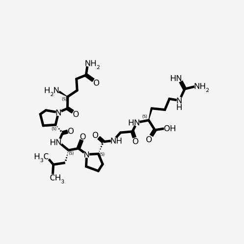 CC(C)C[C@H](NC(=O)[C@@H]1CCCN1C(=O)[C@@H](N)CCC(N)=O)C(=O)N1CCC[C@H]1C(=O)NCC(=O)N[C@@H](CCCNC(=N)N)C(=O)O